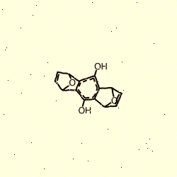 Oc1c2c(c(O)c3c1C1C=CC3O1)C1C=CC2O1